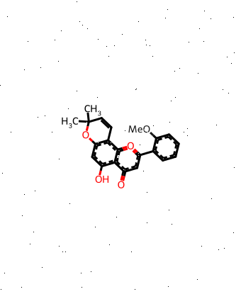 COc1ccccc1-c1cc(=O)c2c(O)cc3c(c2o1)C=CC(C)(C)O3